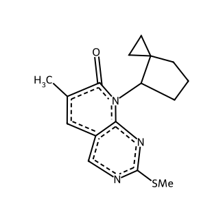 CSc1ncc2cc(C)c(=O)n(C3CCCC34CC4)c2n1